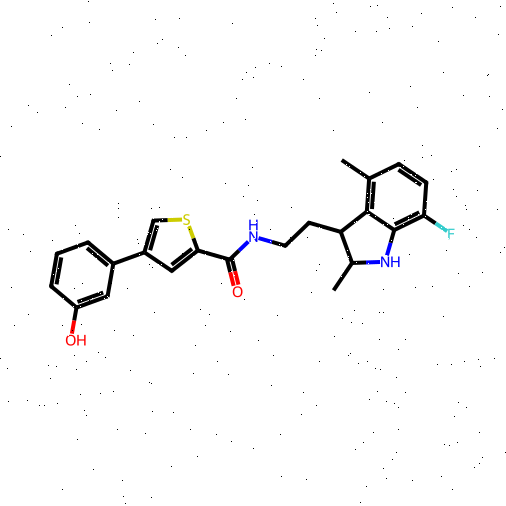 Cc1ccc(F)c2c1C(CCNC(=O)c1cc(-c3cccc(O)c3)cs1)C(C)N2